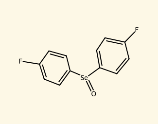 O=[Se](c1ccc(F)cc1)c1ccc(F)cc1